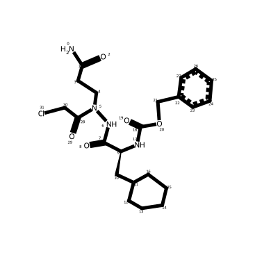 NC(=O)CCN(NC(=O)[C@H](CC1CCCCC1)NC(=O)OCc1ccccc1)C(=O)CCl